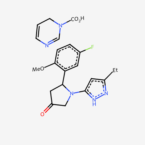 CCc1cc(N2CC(=O)CC2c2cc(F)ccc2OC)[nH]n1.O=C(O)N1C=NC=CC1